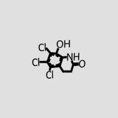 O=C1CCc2c(Cl)c(Cl)c(Cl)c(O)c2N1